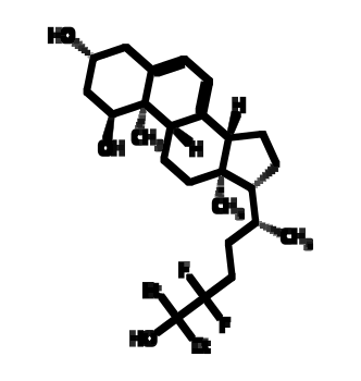 CCC(O)(CC)C(F)(F)CC[C@@H](C)[C@H]1CC[C@H]2C3=CC=C4C[C@@H](O)C[C@H](O)[C@]4(C)[C@H]3CC[C@]12C